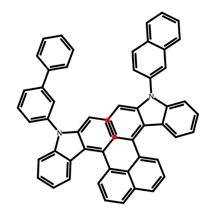 c1ccc(-c2cccc(-n3c4ccccc4c4c(-c5cccc6cccc(-c7cccc8c7c7ccccc7n8-c7ccc8ccccc8c7)c56)cccc43)c2)cc1